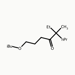 CCCC(C)(CC)C(=O)CCCOC(C)CC